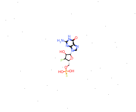 Nc1nc2c(ncn2[C@@H]2O[C@H](COP(O)(O)=S)C(F)C2O)c(=O)[nH]1